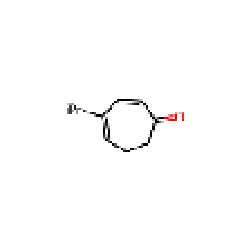 CC(C)C1=CCCC(=O)C=C1